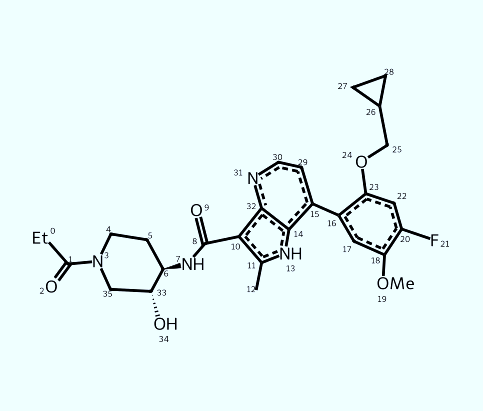 CCC(=O)N1CC[C@@H](NC(=O)c2c(C)[nH]c3c(-c4cc(OC)c(F)cc4OCC4CC4)ccnc23)[C@H](O)C1